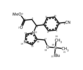 COC(=O)CC(c1ccc(C#N)cc1)n1cncc1CO[Si](C)(C)C(C)(C)C